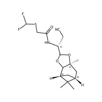 CC1(C)[C@@H]2C[C@H]1C1OB([C@@H](CC#N)NC(=O)CSC(F)F)O[C@@]1(C)C2